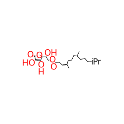 CC(=CCC(=O)OCC(O)C1OC(=O)C(O)=C1O)CCCC(C)CCCC(C)C